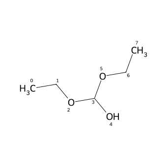 CCOC(O)OCC